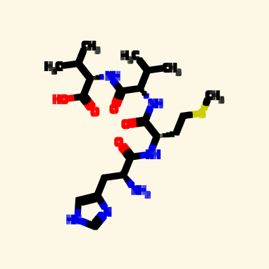 CSCC[C@H](NC(=O)[C@@H](N)Cc1c[nH]cn1)C(=O)N[C@H](C(=O)N[C@H](C(=O)O)C(C)C)C(C)C